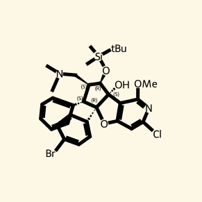 COc1nc(Cl)cc2c1[C@]1(O)[C@H](O[Si](C)(C)C(C)(C)C)[C@H](CN(C)C)[C@@H](c3ccccc3)[C@]1(c1ccc(Br)cc1)O2